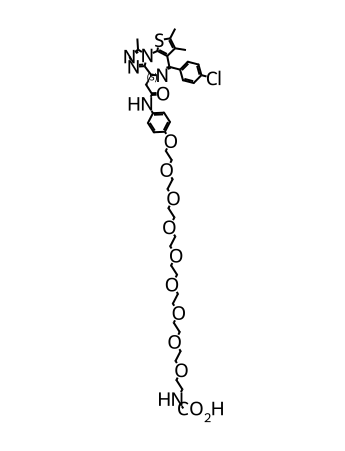 Cc1sc2c(c1C)C(c1ccc(Cl)cc1)=N[C@@H](CC(=O)Nc1ccc(OCCOCCOCCOCCOCCOCCOCCOCCOCCNC(=O)O)cc1)c1nnc(C)n1-2